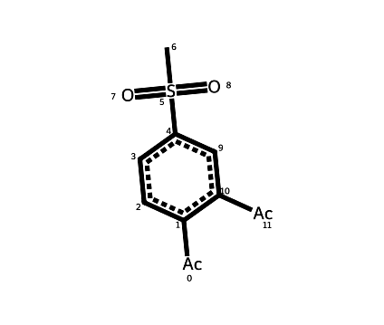 CC(=O)c1ccc(S(C)(=O)=O)cc1C(C)=O